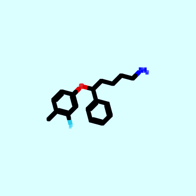 Cc1ccc(OC(CCCCN)c2ccccc2)cc1F